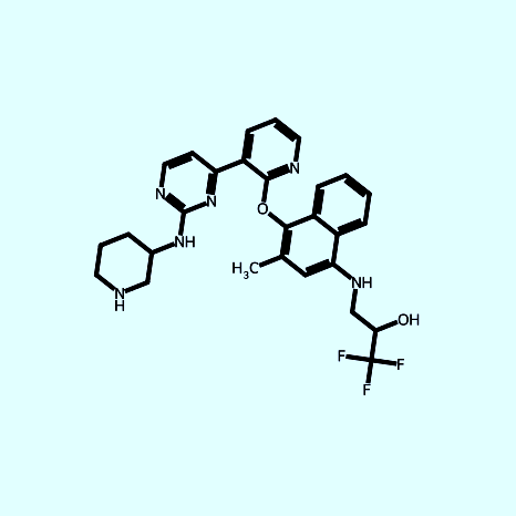 Cc1cc(NCC(O)C(F)(F)F)c2ccccc2c1Oc1ncccc1-c1ccnc(NC2CCCNC2)n1